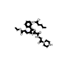 CCCCC(=O)O.CCOC(=O)/C=C/c1sc(C(=O)NCC(=O)N2CCNCC2)nc1-c1ccccc1